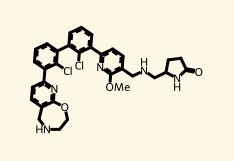 COc1nc(-c2cccc(-c3cccc(-c4ccc5c(n4)OCCNC5)c3Cl)c2Cl)ccc1CNCC1CCC(=O)N1